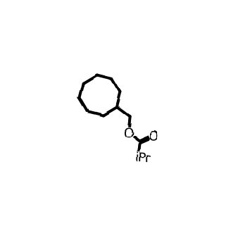 CC(C)C(=O)OCC1CCCCCCC1